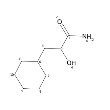 NC(=O)C(O)CC1CCCCC1